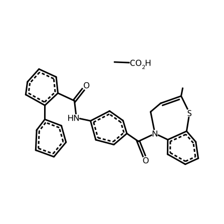 CC(=O)O.CC1=CCN(C(=O)c2ccc(NC(=O)c3ccccc3-c3ccccc3)cc2)c2ccccc2S1